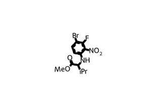 COC(=O)C(Nc1ccc(Br)c(F)c1[N+](=O)[O-])C(C)C